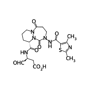 Cc1nc(C)c(C(=O)NN2CCC(=O)N3CCC[C@@H](C(=O)N[C@H](C=O)CC(=O)O)N3C2=O)s1